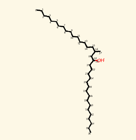 CCCCCCCCCCCCCCCCC(C)CC(O)CCCCCCCCCCCCCCCC